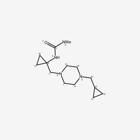 CNC(=O)NC1(CN2CCN(CC3CC3)CC2)CC1